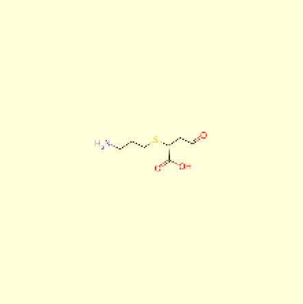 NCCCSC(CC=O)C(=O)O